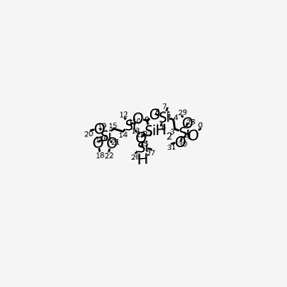 CO[Si](CC[Si](C)(C)OC(O[Si](C)(C)CC[Si](OC)(OC)OC)[SiH2]O[SiH](C)C)(OC)OC